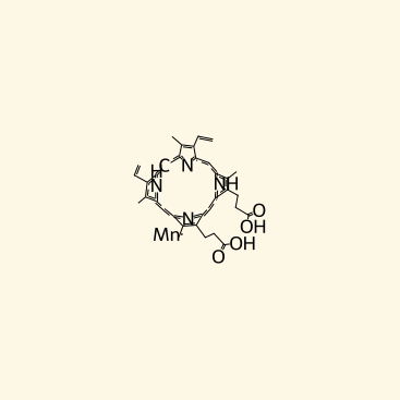 C=CC1=C(C)c2cc3[nH]c(cc4nc(cc5[nH]c(cc1n2)c(C)c5CCC(=O)O)C(CCC(=O)O)=C4C)c(C)c3C=C.[Mn]